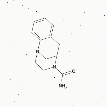 NC(=O)N1CCN2CC1Cc1ccccc12